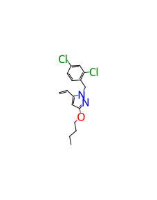 C=Cc1cc(OCCCC)nn1Cc1ccc(Cl)cc1Cl